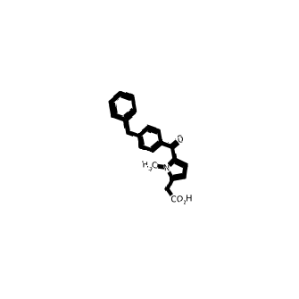 Cn1c(CC(=O)O)ccc1C(=O)c1ccc(Cc2ccccc2)cc1